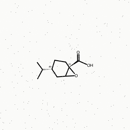 CC(C)[C@@H]1CC[C@]2(C(=O)O)OC2C1